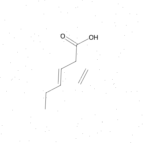 C=C.CCC=CCC(=O)O